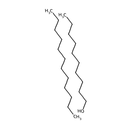 CCCCCCCCCCCC.CCCCCCCCCCO